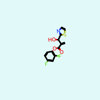 C=C(C(=O)Oc1ccc(F)cc1F)C(O)c1nccs1